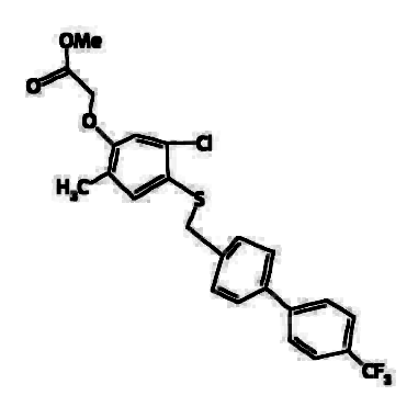 COC(=O)COc1cc(Cl)c(SCc2ccc(-c3ccc(C(F)(F)F)cc3)cc2)cc1C